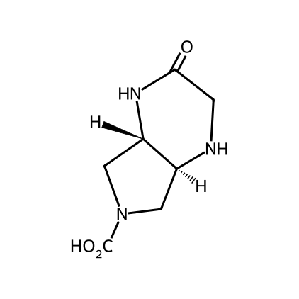 O=C1CN[C@H]2CN(C(=O)O)C[C@@H]2N1